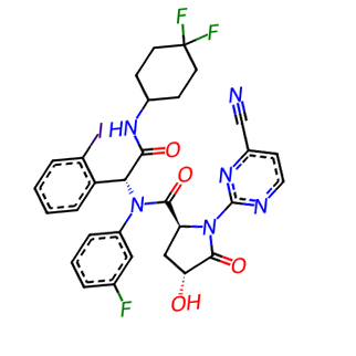 N#Cc1ccnc(N2C(=O)[C@H](O)C[C@H]2C(=O)N(c2cccc(F)c2)[C@@H](C(=O)NC2CCC(F)(F)CC2)c2ccccc2I)n1